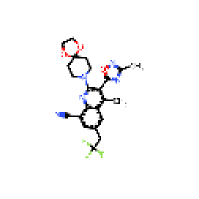 Cc1noc(-c2c(N3CCC4(CC3)OCCO4)nc3c(C#N)cc(CC(F)(F)F)cc3c2C)n1